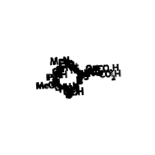 CNC(=O)C[C@@H]1NC(=O)c2csc(n2)-c2ccc(-c3nc(N(CCCCC(=O)O)C(=O)[C@@H]4CC[C@@H](C(=O)O)C4)cs3)nc2-c2csc(n2)-c2csc(n2)[C@H]([C@@H](O)c2ccccc2)NC(=O)CNC(=O)c2nc(sc2COC)C(C(C)C)NC(=O)c2nc1sc2C